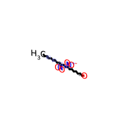 CC/C=C/C/C=C/C/C=C(/C/C=C(/CCCCCC[C]=O)[N+](=O)[O-])[N+](=O)[O-]